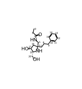 CCC(=O)NC[C@]1(CCCc2ccccc2)C[C@H](O)[C@@H](CO)N1